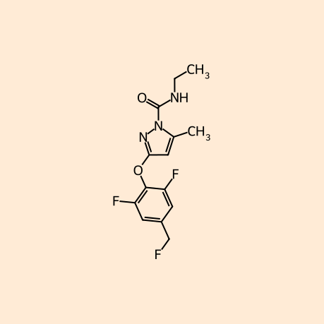 CCNC(=O)n1nc(Oc2c(F)cc(CF)cc2F)cc1C